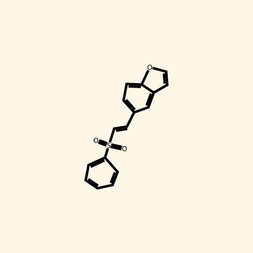 O=S(=O)(/C=C/c1ccc2occc2c1)c1ccccc1